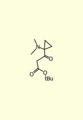 CN(C)C1(C(=O)CC(=O)OC(C)(C)C)CC1